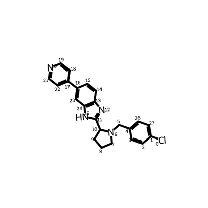 Clc1ccc(CN2CCCC2c2nc3ccc(-c4ccncc4)cc3[nH]2)cc1